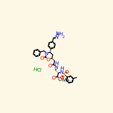 COC(=O)[C@H](CNC(=O)C[C@@H]1C[C@H](c2ccc(C=NN)cc2)N(Cc2ccccc2)C(=O)O1)NS(=O)(=O)c1cccc(C)c1.Cl